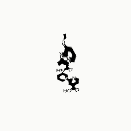 CCOc1cccn2c(C(=O)N[C@H]3CCCN(c4cc(C(=O)O)ccn4)C3)c(C)nc12